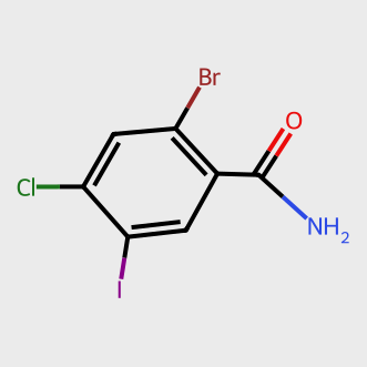 NC(=O)c1cc(I)c(Cl)cc1Br